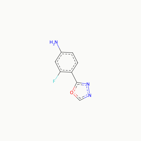 Nc1ccc(-c2nnco2)c(F)c1